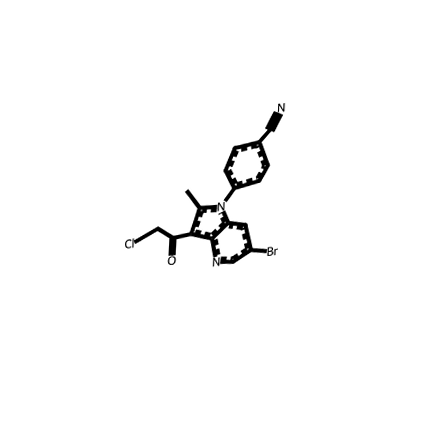 Cc1c(C(=O)CCl)c2ncc(Br)cc2n1-c1ccc(C#N)cc1